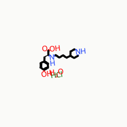 Cl.O.O=C(O)[C@H](Cc1ccc(O)cc1)NCCCCC1CCNCC1